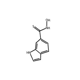 ONC(=S)c1ccc2cc[nH]c2c1